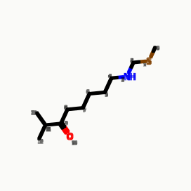 CSCNCCCCCC(=O)C(C)C